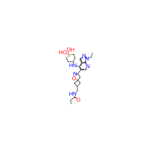 CCC(=O)NCC1CC2(CC(c3cnc4c(cnn4CC)c3NC3CCS(O)(O)CC3)=NO2)C1